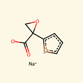 O=C([O-])C1(c2cccs2)CO1.[Na+]